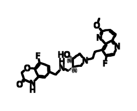 COc1ccc2ncc(F)c(CCN3C[C@H](CNCc4cc(F)c5c(c4)NC(=O)CO5)[C@H](O)C3)c2n1